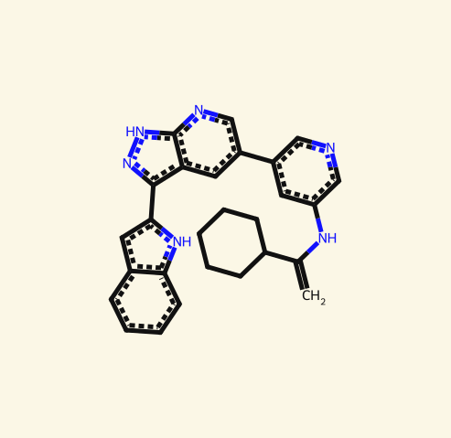 C=C(Nc1cncc(-c2cnc3[nH]nc(-c4cc5ccccc5[nH]4)c3c2)c1)C1CCCCC1